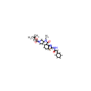 CN(C(=O)C1CCCc2sc(NC(=O)CC3CCCCC3)nc21)C1CCN(C(=O)OC(C)(C)C)C1